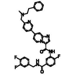 CN(CCc1ccccc1)Cc1ccc(-c2ccn3c(C(=O)Nc4cc(C(=O)NCc5ccc(F)c(F)c5)ccc4F)cnc3c2)cn1